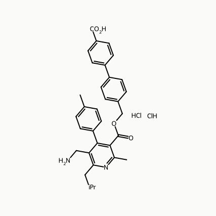 Cc1ccc(-c2c(CN)c(CC(C)C)nc(C)c2C(=O)OCc2ccc(-c3ccc(C(=O)O)cc3)cc2)cc1.Cl.Cl